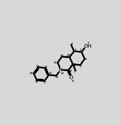 CC1C(O)CCC2(C)C(=O)N(Cc3ccccc3)CCC12